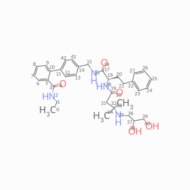 CCNC(=O)c1ccccc1-c1ccc(CNC(=O)[C@@H](CCc2ccccc2)NC(=O)CC(C)(C)NC[C@H](O)CO)cc1